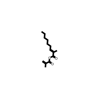 C=C(C)C(=O)OC(=O)C(C)=CCCCCCC